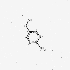 Nc1ncc(CS)cn1